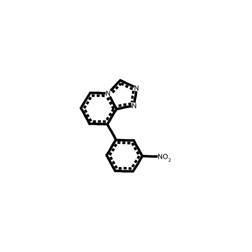 O=[N+]([O-])c1cccc(-c2cccn3cnnc23)c1